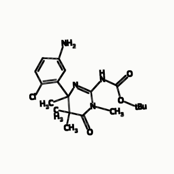 CN1C(=O)C(C)(C)C(C)(c2cc(N)ccc2Cl)N=C1NC(=O)OC(C)(C)C